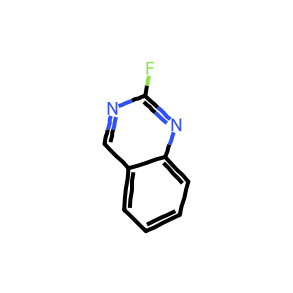 Fc1ncc2ccccc2n1